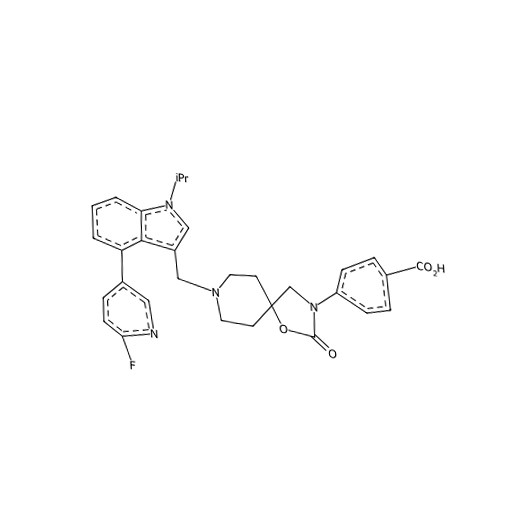 CC(C)n1cc(CN2CCC3(CC2)CN(c2ccc(C(=O)O)cc2)C(=O)O3)c2c(-c3ccc(F)nc3)cccc21